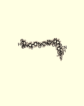 CN(CCF)S(=O)(=O)Nc1ccc(F)c(Oc2ccc3ncn(-c4cnc(N5CCN(C(=O)CN6CCC(c7ccc(N[C@@H]8CCC(=O)NC8=O)cc7F)CC6)CC5)nc4)c(=O)c3c2)c1C#N